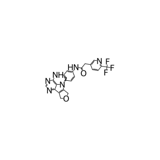 Nc1ncnc2c3c(n(-c4ccc(NC(=O)Cc5ccc(C(F)(F)F)nc5)cc4)c12)COC3